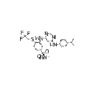 CNS(=O)(=O)c1ccc(SCC(F)(F)F)c(Nc2cc(Nc3ccc(C(C)C)cc3)ncn2)c1